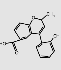 Cc1ccccc1C1=CC(C)Oc2ccc(C(=O)O)cc21